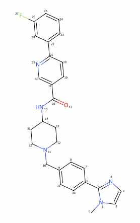 Cn1ccnc1-c1ccc(CN2CCC(NC(=O)c3ccc(-c4cccc(F)c4)nc3)CC2)cc1